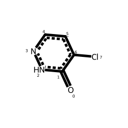 O=c1[nH]nc[c]c1Cl